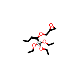 CCC=C(OCC1CO1)[Si](OCC)(OCC)OCC